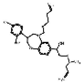 C=CCCCCN1CC(c2ccc(Cl)cc2CCC)COc2ccc(C(O)CSN(C)CC=C)cc21